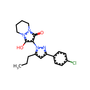 CCCc1cc(-c2ccc(Cl)cc2)nn1-c1c(O)n2n(c1=O)CCCC2